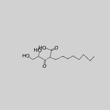 CCCCCCCCC(C(=O)O)C(=O)C(O)CO